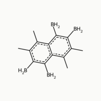 Bc1c(C)c(C)c2c(B)c(B)c(C)c(C)c2c1B